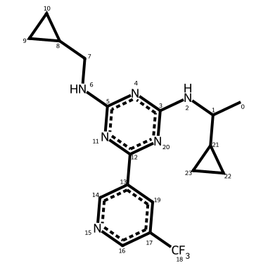 CC(Nc1nc(NCC2CC2)nc(-c2cncc(C(F)(F)F)c2)n1)C1CC1